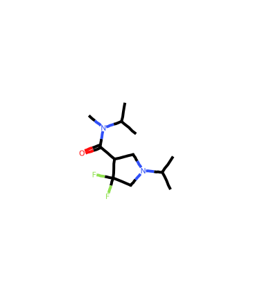 CC(C)N1CC(C(=O)N(C)C(C)C)C(F)(F)C1